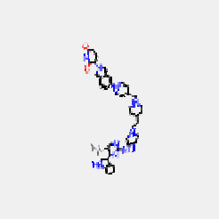 O=C1CCC(n2cc3ccc(N4CCC(CN5CCC(CCN6CC[C@@H](Nc7ncc(C(F)(F)F)c(-c8c[nH]c9ccccc89)n7)C6)CC5)CC4)cc3c2)C(=O)N1